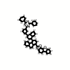 c1ccc(-c2nc(-c3ccccc3)nc(-c3cccc(-c4ccc(-c5ccc(-c6nc7ccc8c9ccccc9oc8c7o6)c6ccc7ccccc7c56)c5ccccc45)c3)n2)cc1